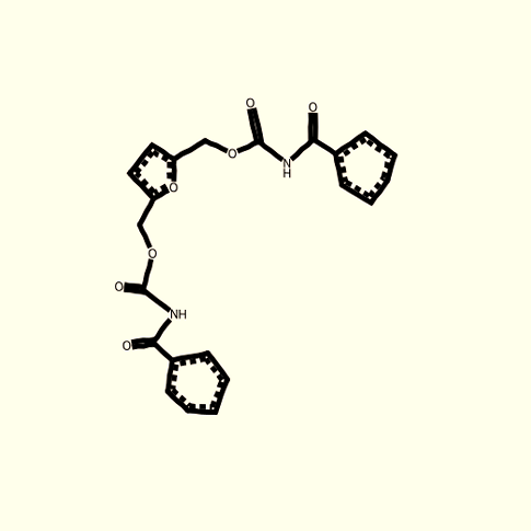 O=C(NC(=O)c1ccccc1)OCc1ccc(COC(=O)NC(=O)c2ccccc2)o1